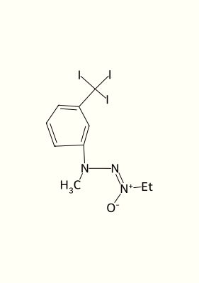 CC/[N+]([O-])=N/N(C)c1cccc(C(I)(I)I)c1